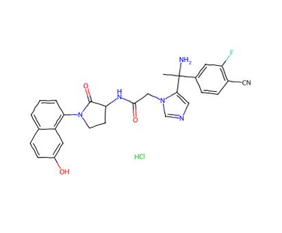 CC(N)(c1ccc(C#N)c(F)c1)c1cncn1CC(=O)NC1CCN(c2cccc3ccc(O)cc23)C1=O.Cl